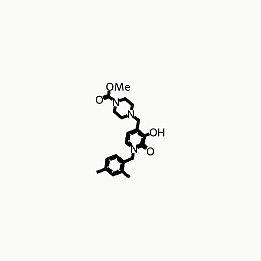 COC(=O)N1CCN(Cc2ccn(Cc3ccc(C)cc3C)c(=O)c2O)CC1